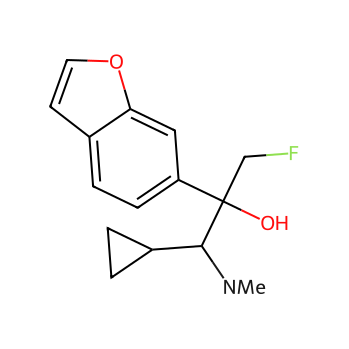 CNC(C1CC1)C(O)(CF)c1ccc2ccoc2c1